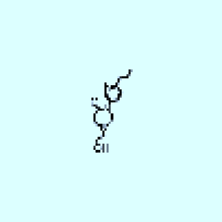 CCCc1ccc(N2CCN(CCO)CCC2=O)cn1